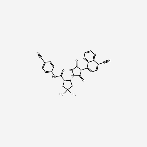 CC1(C)CC([C@@H]2NC(=O)N(c3ccc(C#N)c4ncccc34)C2=O)N(C(=O)Nc2ccc(C#N)cc2)C1